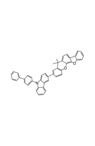 CC1(C)c2cc(-c3ccc4c(c3)c3ccccc3n4-c3ccc(-c4ccccc4)cc3)ccc2Oc2c1ccc1c2oc2ccccc21